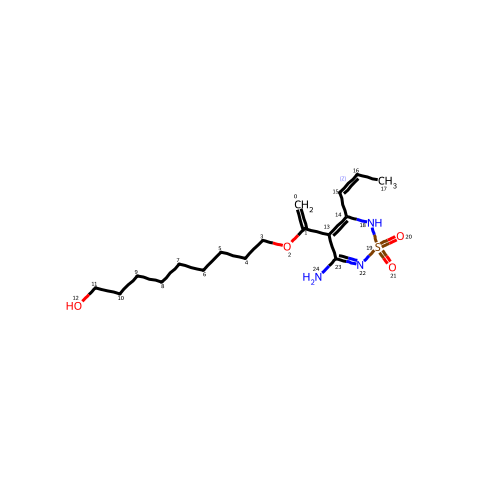 C=C(OCCCCCCCCCO)C1=C(/C=C\C)NS(=O)(=O)N=C1N